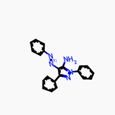 Nc1c(/N=N/c2ccccc2)c(-c2ccccc2)nn1-c1ccccc1